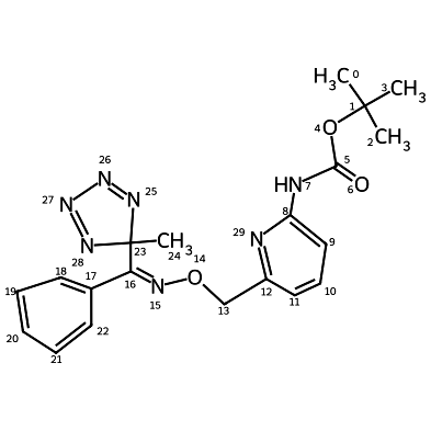 CC(C)(C)OC(=O)Nc1cccc(CON=C(c2ccccc2)C2(C)N=NN=N2)n1